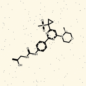 C=C(O)CNC(=O)Nc1ccc(-c2nc(N3CCOC[C@@H]3C)cc(C3(S(C)(=O)=O)CC3)n2)cc1